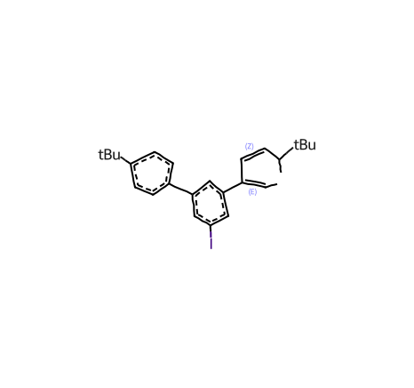 C/C=C(\C=C/C(C)C(C)(C)C)c1cc(I)cc(-c2ccc(C(C)(C)C)cc2)c1